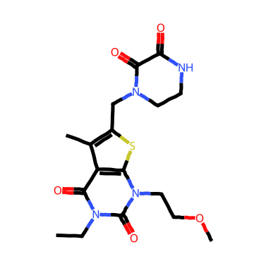 CCn1c(=O)c2c(C)c(CN3CCNC(=O)C3=O)sc2n(CCOC)c1=O